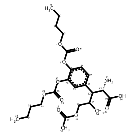 CCCCOC(=O)Oc1ccc(C(C(C)COC(C)=O)[C@H](N)C(=O)O)cc1OC(=O)OCCCC